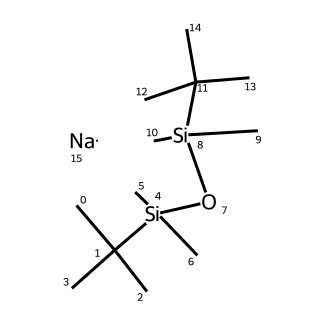 CC(C)(C)[Si](C)(C)O[Si](C)(C)C(C)(C)C.[Na]